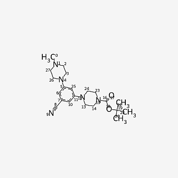 CN1CCN(c2cc(C#N)cc(N3CCN(C(=O)OC(C)(C)C)CC3)c2)CC1